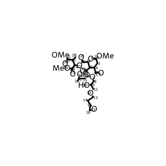 COC(=O)CC(C(=O)OCC(O)COCCC1CO1)C(CC(=O)OC(C(=O)OC)C(C)C(=O)OC)C(=O)OCC(C)O